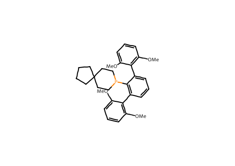 COc1cccc(OC)c1-c1cccc(-c2c(OC)cccc2OC)c1P1CCC2(CCCC2)CC1